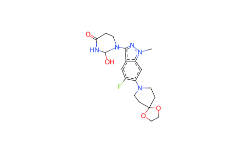 Cn1nc(N2CCC(=O)NC2O)c2cc(F)c(N3CCC4(CC3)OCCO4)cc21